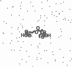 C=C(C(=O)OCCCS(=O)(=O)O)C(CC)S(=O)(=O)O